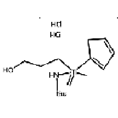 Cl.Cl.[CH2]=[Ti]([CH3])([CH2]CCO)([NH]C(C)(C)C)[C]1=CC=CC1